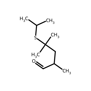 CC(C=O)CC(C)(C)SC(C)C